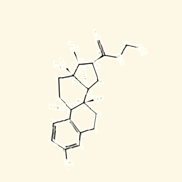 C[C@]12CC[C@@H]3c4ccc(O)cc4CC[C@H]3[C@@H]1C[C@H](C(=O)OCC(F)(F)F)[C@@H]2O